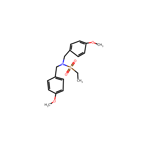 C[CH]S(=O)(=O)N(Cc1ccc(OC)cc1)Cc1ccc(OC)cc1